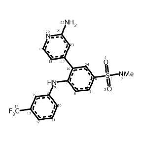 CNS(=O)(=O)c1ccc(Nc2cccc(C(F)(F)F)c2)c(-c2ccnc(N)c2)c1